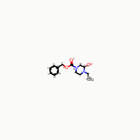 CC(C)(C)CN1CCN(C(=O)OCc2ccccc2)CC1O